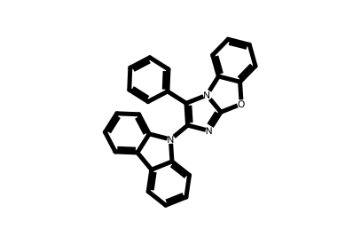 c1ccc(-c2c(-n3c4ccccc4c4ccccc43)nc3oc4ccccc4n23)cc1